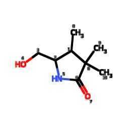 CC1C(CO)NC(=O)C1(C)C